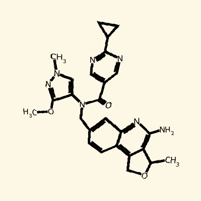 COc1nn(C)cc1N(Cc1ccc2c3c(c(N)nc2c1)C(C)OC3)C(=O)c1cnc(C2CC2)nc1